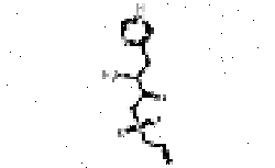 C=CCS(=O)(=O)[C]C(=O)[C@@H](N)Cc1c[nH]cn1